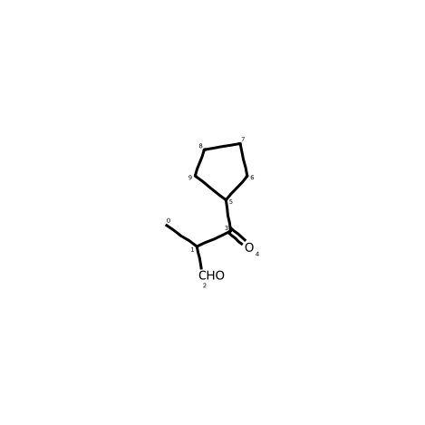 CC(C=O)C(=O)C1CCCC1